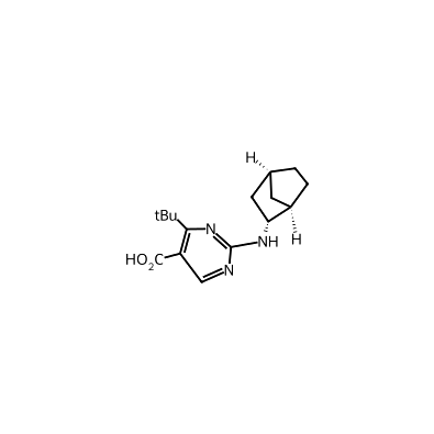 CC(C)(C)c1nc(N[C@@H]2C[C@H]3CC[C@@H]2C3)ncc1C(=O)O